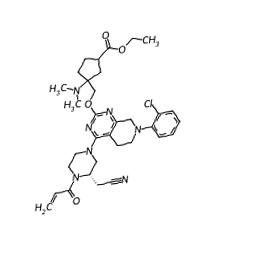 C=CC(=O)N1CCN(c2nc(OCC3(N(C)C)CCC(C(=O)OCC)C3)nc3c2CCN(c2ccccc2Cl)C3)C[C@@H]1CC#N